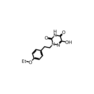 CCOc1ccc(CCn2nc(O)c(=O)[nH]c2=O)cc1